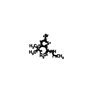 CCNC(=O)c1sc(Br)cc1[Si](C)(C)C